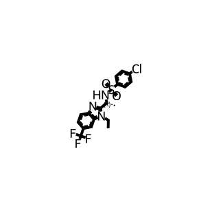 CCn1c([C@@H](C)NS(=O)(=O)c2ccc(Cl)cc2)nc2ccc(C(F)(F)F)cc21